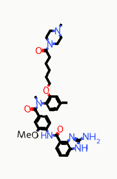 COc1cc(C(=O)N(C)c2ccc(C)cc2OCCCCCC(=O)N2CCN(C)CC2)ccc1NC(=O)c1cccc2[nH]c(N)nc12